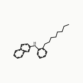 CCCCCCCCc1ccccc1Nc1ccc2ccccc2c1